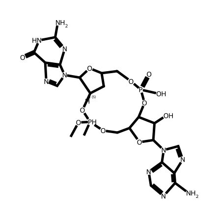 CO[PH]1(C)OCC2OC(n3cnc4c(N)ncnc43)C(O)C2OP(=O)(O)OCC2C[C@H](O1)C(n1cnc3c(=O)[nH]c(N)nc31)O2